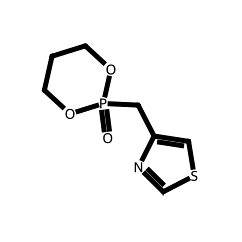 O=P1(Cc2cs[c]n2)OCCCO1